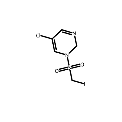 O=S(=O)(CI)N1C=C(Cl)C=NC1